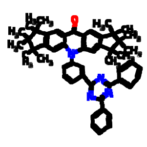 CC1(C)c2cc3c(=O)c4cc5c(cc4n(-c4cccc(-c6nc(-c7ccccc7)nc(-c7ccccc7)n6)c4)c3cc2C(C)(C)C1(C)C)C(C)(C)C(C)(C)C5(C)C